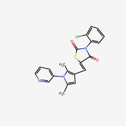 Cc1cc(C=C2SC(=O)N(c3ccccc3Cl)C2=O)c(C)n1-c1cccnc1